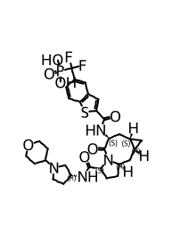 O=C(N[C@H]1C[C@@H]2C[C@@H]2C[C@H]2CC[C@@H](C(=O)N[C@@H]3CCN(C4CCOCC4)C3)N2C1=O)c1cc2cc(C(F)(F)P(=O)(O)O)ccc2s1